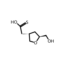 OC[C@@H]1C[C@@H](CC(O)=S)CO1